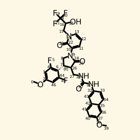 COc1cc(F)c([C@@H]2CN(c3cccn(CC(O)C(F)(F)F)c3=O)C(=O)C2CNC(=O)Nc2ccc3cc(OC)ccc3c2)c(F)c1